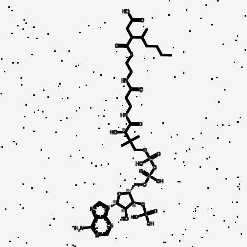 CCCCC(C)C(CC(=O)O)C(=O)SCCNC(=O)CCNC(=O)[C@H](O)C(C)(C)COP(=O)(O)OP(=O)(O)OC[C@H]1O[C@@H](n2cnc3c(N)ncnc32)[C@H](O)[C@@H]1OP(=O)(O)O